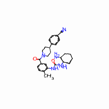 Cc1ccc(C(=O)N2CCC(c3ccc(C#N)cc3)CC2)cc1NC(=O)N[C@@H]1CCCC[C@@H]1N